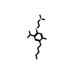 CCCCCc1cc(C(C)C)c(OCCN(C)C)cc1C